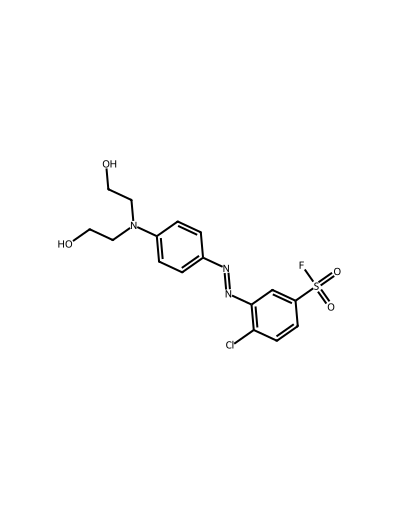 O=S(=O)(F)c1ccc(Cl)c(N=Nc2ccc(N(CCO)CCO)cc2)c1